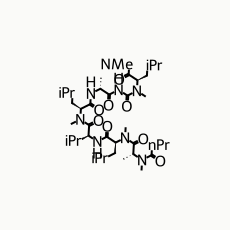 CCCC(=O)N(C)[C@H](C)C(=O)N(C)[C@@H](CC(C)C)C(=O)N[C@H](C(=O)N(C)[C@@H](CC(C)C)C(=O)N[C@H](C)C(=O)NC(=O)N(C)[C@H](CC(C)C)C(=O)NC)C(C)C